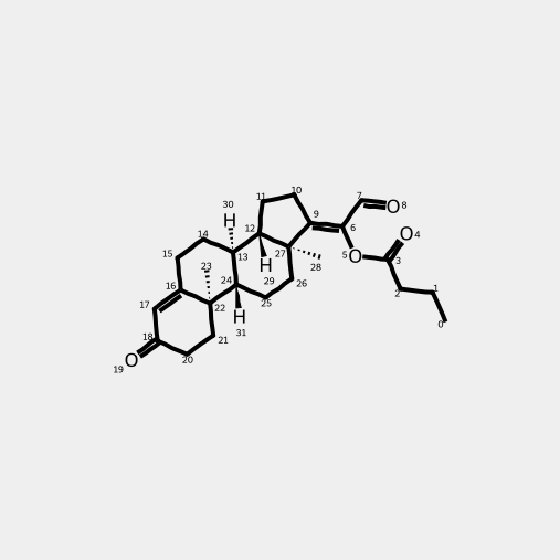 CCCC(=O)O/C(C=O)=C1/CC[C@H]2[C@@H]3CCC4=CC(=O)CC[C@]4(C)[C@H]3CC[C@]12C